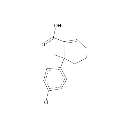 CC1(c2ccc(Cl)cc2)CCCC=C1C(=O)O